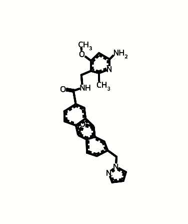 COc1cc(N)nc(C)c1CNC(=O)c1ccc2c(c1)c1oc2c2ccc(Cn3cccn3)cc21